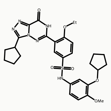 CCOc1ccc(S(=O)(=O)Nc2ccc(OC)c(OC3CCCC3)c2)cc1-c1nn2c(C3CCCC3)nnc2c(=O)[nH]1